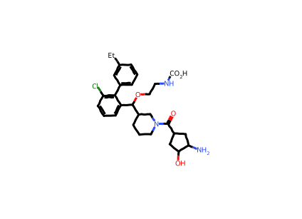 CCc1cccc(-c2c(Cl)cccc2C(OCCNC(=O)O)C2CCCN(C(=O)C3CC(N)C(O)C3)C2)c1